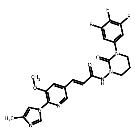 COc1cc(C=CC(=O)NN2CCCN(c3cc(F)c(F)c(F)c3)C2=O)cnc1-n1cnc(C)c1